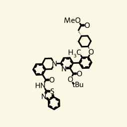 COC(=O)C[C@H]1CC[C@@H](Oc2cccc(-c3ccc(N4CCc5cccc(C(=O)Nc6nc7ccccc7s6)c5C4)nc3C(=O)OC(C)(C)C)c2C)CC1